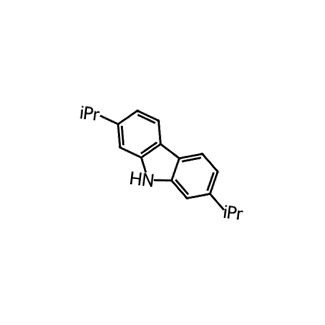 CC(C)c1ccc2c(c1)[nH]c1cc(C(C)C)ccc12